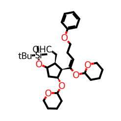 CC(C)(C)[Si](C)(C)OC1C[C@H](OC2CCCCO2)[C@H](/C(=C\CCOc2ccccc2)OC2CCCCO2)[C@@H]1CC=O